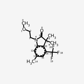 COCCN1C(=O)C(C)(C)c2c1cc(C)cc2C(F)(F)F